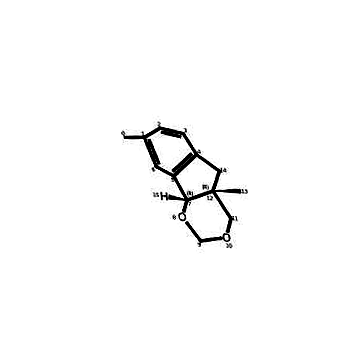 Cc1ccc2c(c1)[C@H]1OCOC[C@@]1(C)C2